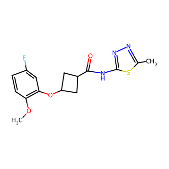 COc1ccc(F)cc1OC1CC(C(=O)Nc2nnc(C)s2)C1